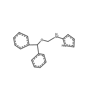 c1ccc(C(OC[SiH2]c2ccc[nH]2)c2ccccc2)cc1